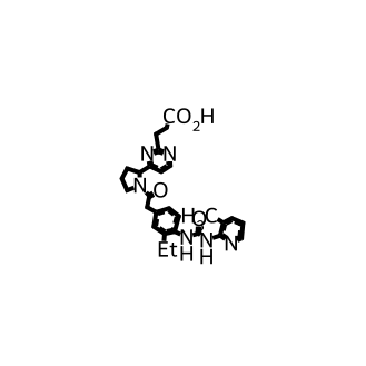 CCc1cc(CC(=O)N2CCCC2c2ccnc(CCC(=O)O)n2)ccc1NC(=O)Nc1ncccc1C